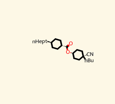 CCCCCCC[C@H]1CC[C@H](C(=O)O[C@H]2CC[C@](C#N)(CCCC)CC2)CC1